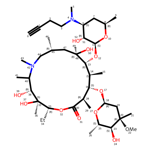 C#CCCN(C)[C@H]1C[C@@H](C)O[C@@H](O[C@@H]2[C@@H](C)[C@H](O[C@H]3C[C@@](C)(OC)[C@@H](O)[C@H](C)O3)[C@@H](C)C(=O)O[C@H](CC)[C@@](C)(O)[C@H](O)C(C)N(C)C[C@H](C)C[C@@]2(C)O)[C@@H]1O